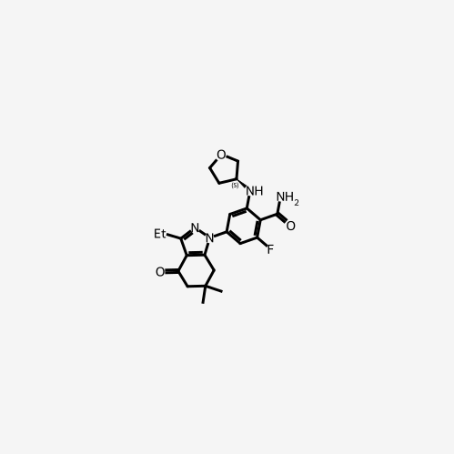 CCc1nn(-c2cc(F)c(C(N)=O)c(N[C@H]3CCOC3)c2)c2c1C(=O)CC(C)(C)C2